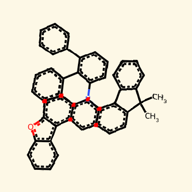 CC1(C)c2ccccc2-c2c(N(c3ccc4oc5ccccc5c4c3)c3cccc(-c4ccccc4)c3-c3ccccc3-c3ccccc3)cccc21